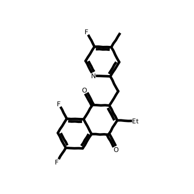 CCC1=C(Cc2cc(C)c(F)cn2)C(=O)c2c(F)cc(F)cc2C1=O